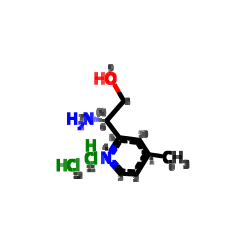 Cc1ccnc([C@H](N)CO)c1.Cl.Cl